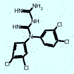 N=C(N)NC(=N)N(c1ccc(Cl)c(Cl)c1)c1ccc(Cl)c(Cl)c1